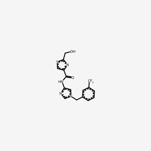 O=C(Nc1cn(Cc2cccc(C(F)(F)F)c2)cn1)c1csc(CO)n1